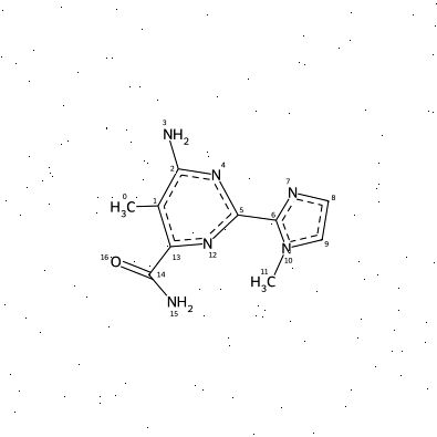 Cc1c(N)nc(-c2nccn2C)nc1C(N)=O